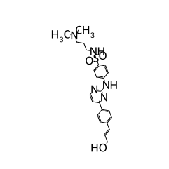 CN(C)CCCNS(=O)(=O)c1ccc(Nc2nccc(-c3ccc(C=CCO)cc3)n2)cc1